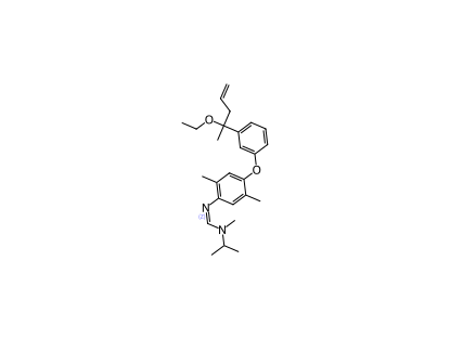 C=CCC(C)(OCC)c1cccc(Oc2cc(C)c(/N=C\N(C)C(C)C)cc2C)c1